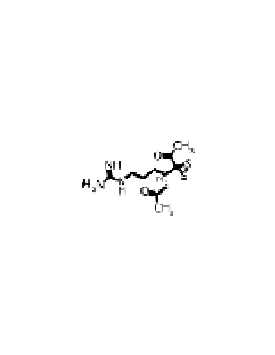 CC(=O)C[C@H](CCCNC(=N)N)C1(C(C)=O)SS1